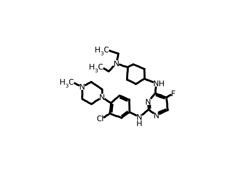 CCN(CC)C1CCC(Nc2nc(Nc3ccc(N4CCN(C)CC4)c(Cl)c3)ncc2F)CC1